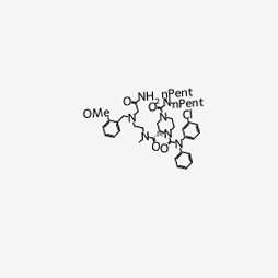 CCCCCN(CCCCC)C(=O)N1CCN(C(=O)N(c2ccccc2)c2cccc(Cl)c2)[C@H](C(=O)N(C)CCN(CC(N)=O)Cc2ccccc2OC)C1